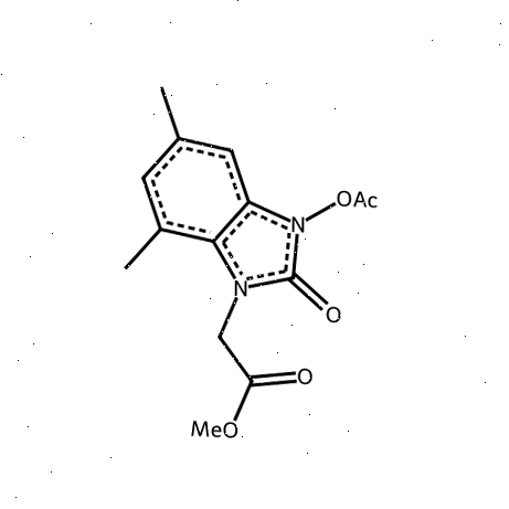 COC(=O)Cn1c(=O)n(OC(C)=O)c2cc(C)cc(C)c21